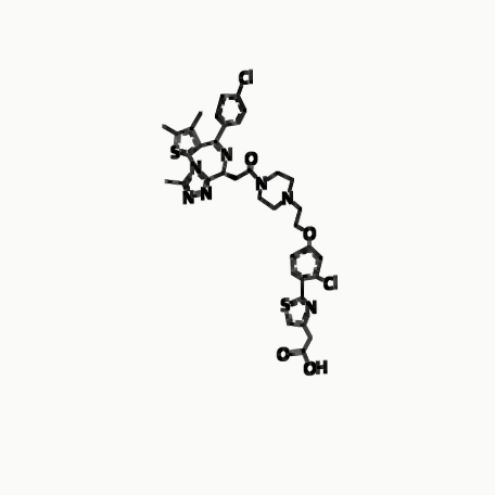 Cc1sc2c(c1C)C(c1ccc(Cl)cc1)=N[C@@H](CC(=O)N1CCN(CCOc3ccc(-c4nc(CC(=O)O)cs4)c(Cl)c3)CC1)c1nnc(C)n1-2